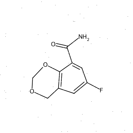 NC(=O)c1cc(F)cc2c1OCOC2